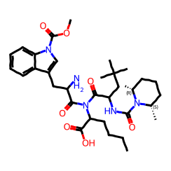 CCCCC(C(=O)O)N(C(=O)C(N)Cc1cn(C(=O)OC)c2ccccc12)C(=O)C(CC(C)(C)C)NC(=O)N1[C@H](C)CCC[C@@H]1C